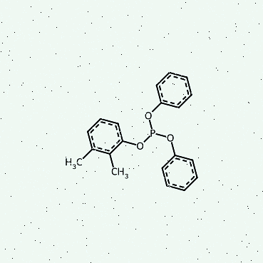 Cc1cccc(OP(Oc2ccccc2)Oc2ccccc2)c1C